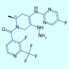 C[C@H]1CC(Nc2ncc(F)cn2)=C(NN)CN1C(=O)c1ccnc(C(F)(F)F)c1F